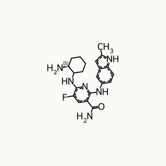 Cc1cc2cc(Nc3nc(NC4CCCC[C@@H]4N)c(F)cc3C(N)=O)ccc2[nH]1